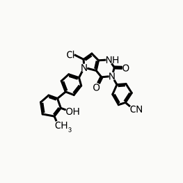 Cc1cccc(-c2ccc(-n3c(Cl)cc4[nH]c(=O)n(-c5ccc(C#N)cc5)c(=O)c43)cc2)c1O